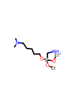 CCO[Si](CN)(OCC)OCCCCCN(C)C